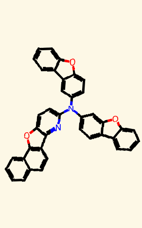 c1ccc2c(c1)ccc1c3nc(N(c4ccc5c(c4)oc4ccccc45)c4ccc5oc6ccccc6c5c4)ccc3oc21